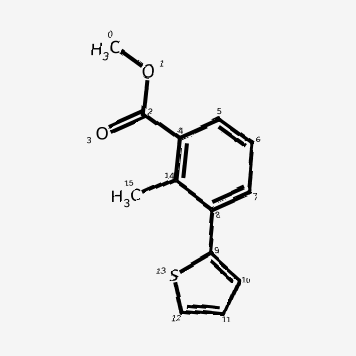 COC(=O)c1cccc(-c2cccs2)c1C